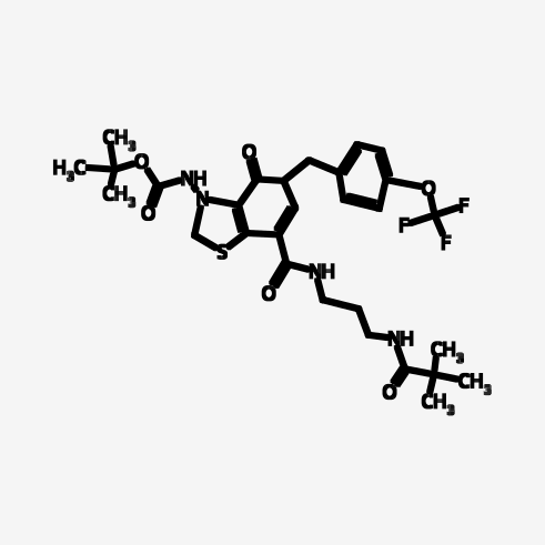 CC(C)(C)OC(=O)NN1CSC2=C1C(=O)C(Cc1ccc(OC(F)(F)F)cc1)C=C2C(=O)NCCCNC(=O)C(C)(C)C